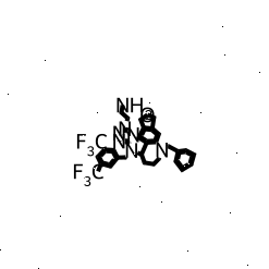 NCCn1nnc(N(Cc2cc(C(F)(F)F)cc(C(F)(F)F)c2)C2CCCN(Cc3ccccc3)c3cc4c(cc32)COC4)n1